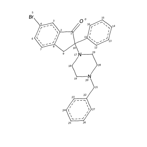 O=C1c2cc(Br)ccc2CC1(c1ccccc1)N1CCN(Cc2ccccc2)CC1